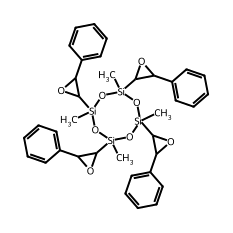 C[Si]1(C2OC2c2ccccc2)O[Si](C)(C2OC2c2ccccc2)O[Si](C)(C2OC2c2ccccc2)O[Si](C)(C2OC2c2ccccc2)O1